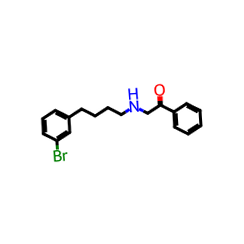 O=C(CNCCCCc1cccc(Br)c1)c1ccccc1